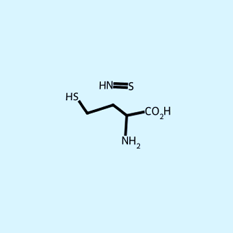 N=S.NC(CCS)C(=O)O